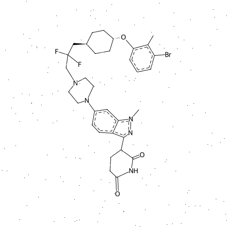 Cc1c(Br)cccc1O[C@H]1CC[C@H](CC(F)(F)CN2CCN(c3ccc4c(C5CCC(=O)NC5=O)nn(C)c4c3)CC2)CC1